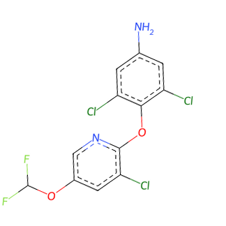 Nc1cc(Cl)c(Oc2ncc(OC(F)F)cc2Cl)c(Cl)c1